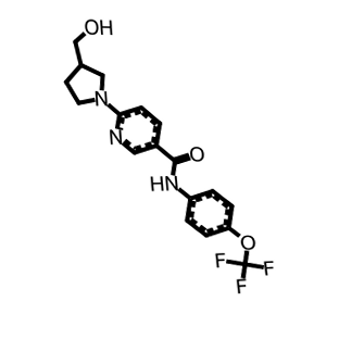 O=C(Nc1ccc(OC(F)(F)F)cc1)c1ccc(N2CCC(CO)C2)nc1